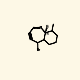 CC1CCCC2C(Br)C#CC=N[C@H]12